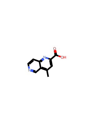 Cc1cc(C(=O)O)nc2ccncc12